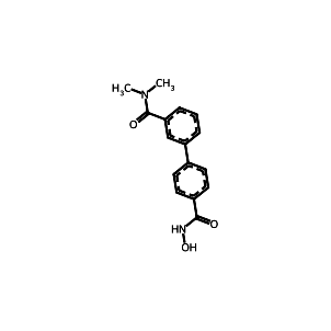 CN(C)C(=O)c1cccc(-c2ccc(C(=O)NO)cc2)c1